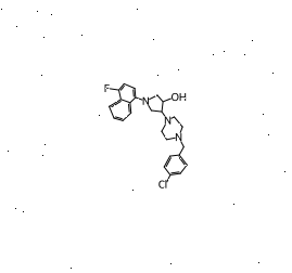 OC1CN(c2ccc(F)c3ccccc23)CC1N1CCN(Cc2ccc(Cl)cc2)CC1